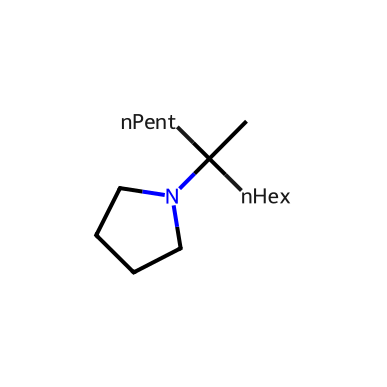 CCCCCCC(C)(CCCCC)N1CCCC1